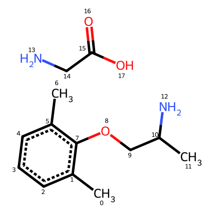 Cc1cccc(C)c1OCC(C)N.NCC(=O)O